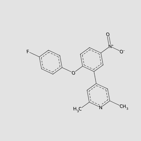 Cc1cc(-c2cc([N+](=O)[O-])ccc2Oc2ccc(F)cc2)cc(C)n1